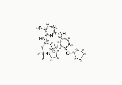 CC1(C)C[C@H](Nc2nc(Nc3ccc(OC4CCCCC4)cc3)ncc2F)C[C@@H]2CCCN21